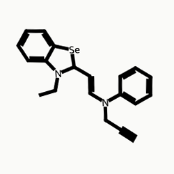 C#CCN(C=CC1[Se]c2ccccc2N1CC)c1ccccc1